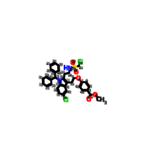 COC(=O)c1ccc(OCCc2c(CCNS(=O)(=O)CCl)n(C(c3ccccc3)c3ccccc3)c3ccc(Cl)cc23)cc1